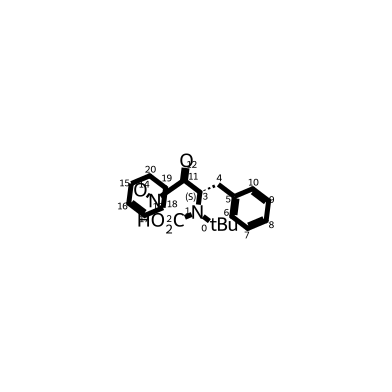 CC(C)(C)N(C(=O)O)[C@@H](Cc1ccccc1)C(=O)N1OC2C=CC1CC2